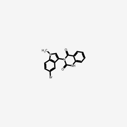 Cn1cc(-n2c(=O)[nH]c3ccccc3c2=O)c2cc(Br)ccc21